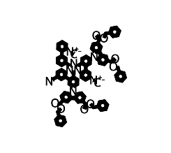 [C-]#[N+]c1cccc(-c2cc(-n3c4ccc(C(=O)OCc5ccccc5)cc4c4cc(C(=O)OCc5ccccc5)ccc43)ccc2-c2nc(-c3cccc(-c4ccccc4[N+]#[C-])c3)nc(-c3ccc(-n4c5ccc(C(=O)OCc6ccccc6)cc5c5cc(C(=O)OCc6ccccc6)ccc54)cc3-c3cccc(C#N)c3)n2)c1